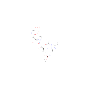 CC[C@H](C)[C@@H]([C@@H](CC(=O)N1CCC[C@H]1[C@H](OC)[C@@H](C)C(=O)N[C@@H](C)C(=O)O)OC)N(C)C(=O)[C@@H](NC(=O)[C@H](C(C)C)N(C)CCCNC(=O)OC(C)(C)C)C(C)C